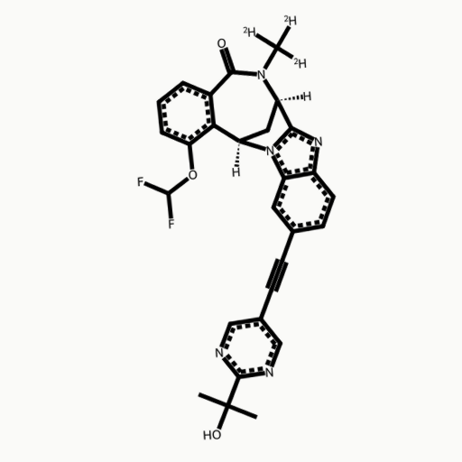 [2H]C([2H])([2H])N1C(=O)c2cccc(OC(F)F)c2[C@H]2C[C@@H]1c1nc3ccc(C#Cc4cnc(C(C)(C)O)nc4)cc3n12